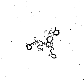 Cc1cccc(N2CCc3c(nc(OCC4CCCN4C)nc3N3CCN(C(=O)OCc4ccccc4)C(CC#N)C3)C2)c1C(F)(F)F